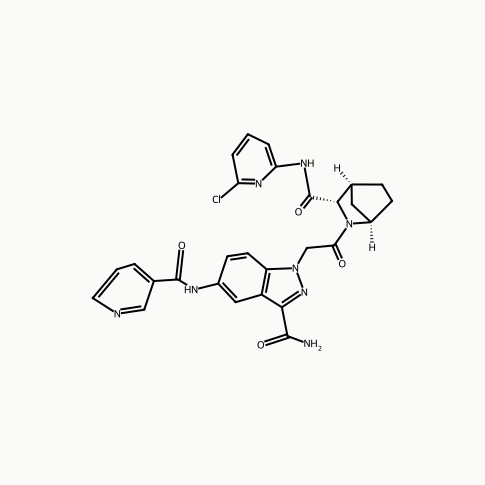 NC(=O)c1nn(CC(=O)N2[C@@H]3CC[C@@H](C3)[C@H]2C(=O)Nc2cccc(Cl)n2)c2ccc(NC(=O)c3cccnc3)cc12